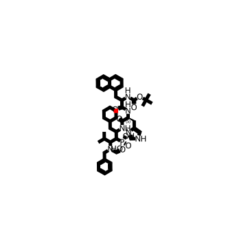 CC(C)C(C(C(CC1CCCCC1)NC(=O)[C@H](Cc1c[nH]cn1)NC(=O)C(Cc1cccc2ccccc12)NC(=O)OC(C)(C)C)P(=O)(O)O)N(C=O)Cc1ccccc1